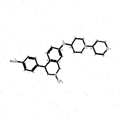 COc1ccc(C2CN(C)Cc3cc(OC4CCN(C5CCOCC5)CC4)ccc32)cc1